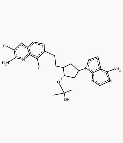 CC(C)(O)O[C@H]1CC(n2ccc3c(N)ncnc32)CC1CCc1ccc2cc(Cl)c(N)nc2c1F